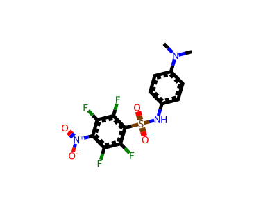 CN(C)c1ccc(NS(=O)(=O)c2c(F)c(F)c([N+](=O)[O-])c(F)c2F)cc1